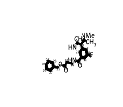 CN/C(C)=C(\C(C)=N)c1cc(F)cc(C(=O)NCCC(=O)OCc2ccccc2)c1